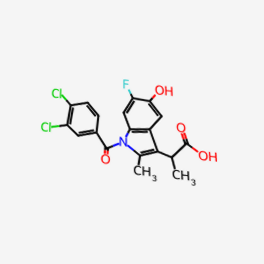 Cc1c(C(C)C(=O)O)c2cc(O)c(F)cc2n1C(=O)c1ccc(Cl)c(Cl)c1